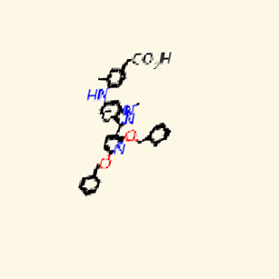 Cc1cc(CC(=O)O)ccc1Nc1ccc2c(-c3ccc(OCc4ccccc4)nc3OCc3ccccc3)nn(C)c2c1